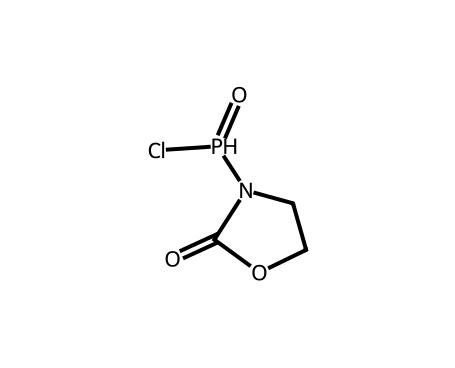 O=C1OCCN1[PH](=O)Cl